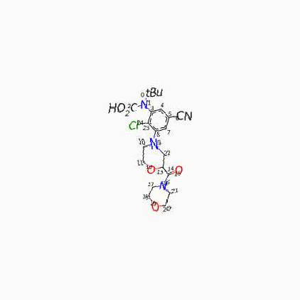 CC(C)(C)N(C(=O)O)c1cc(C#N)cc(N2CCOC(C(=O)N3CCOCC3)C2)c1Cl